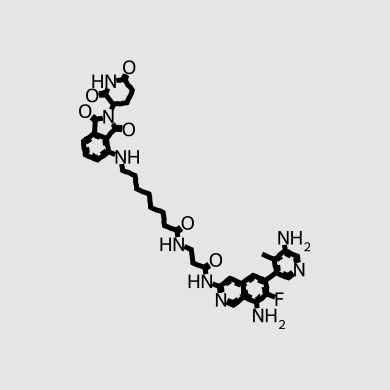 Cc1c(N)cncc1-c1cc2cc(NC(=O)CCNC(=O)CCCCCCCNc3cccc4c3C(=O)N(C3CCC(=O)NC3=O)C4=O)ncc2c(N)c1F